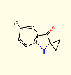 Cc1ccc2c(c1)C(=O)C1(CC1)N2